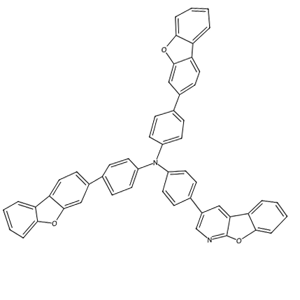 c1ccc2c(c1)oc1cc(-c3ccc(N(c4ccc(-c5ccc6c(c5)oc5ccccc56)cc4)c4ccc(-c5cnc6oc7ccccc7c6c5)cc4)cc3)ccc12